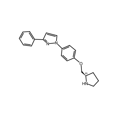 c1ccc(-c2ccn(-c3ccc(OC[C@H]4CCCN4)cc3)n2)cc1